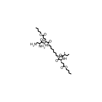 CCCCOC(=O)CC[C@H](NC(=O)[C@@H](C)CC)C(=O)NCCCCCCNC(=O)[C@H](CCC(=O)OCCCC)NC(=O)[C@@H](N)CN